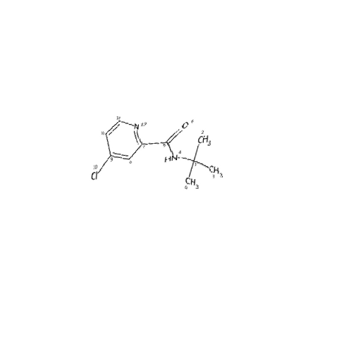 CC(C)(C)NC(=O)c1cc(Cl)ccn1